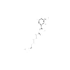 C=CCCCCCC(=O)OC(=O)c1cccc(Cl)c1